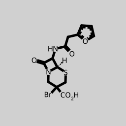 O=C(Cc1ccco1)NC1C(=O)N2CC(Br)(C(=O)O)CS[C@H]12